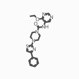 CCOc1ncncc1NC(=O)N1CCN(c2nc(-c3ccccc3)cs2)CC1